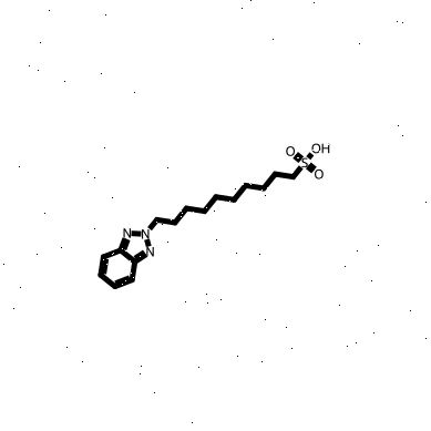 O=S(=O)(O)CCCCCCCCCCn1nc2ccccc2n1